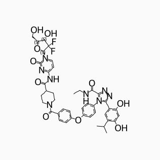 CCNC(=O)c1nnc(-c2cc(C(C)C)c(O)cc2O)n1-c1ccc(Oc2ccc(C(=O)N3CCC(C(=O)Nc4ccn([C@H]5O[C@@H](CO)[C@H](O)C5(F)F)c(=O)n4)CC3)cc2)cc1